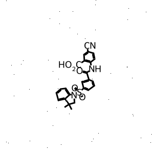 CC1(C)CN(S(=O)(=O)c2cccc(C(=O)Nc3ccc(C#N)cc3C(=O)O)c2)c2ccccc21